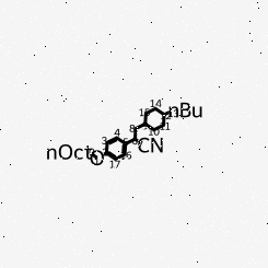 CCCCCCCCOc1ccc(C(C#N)CC2CCC(CCCC)CC2)cc1